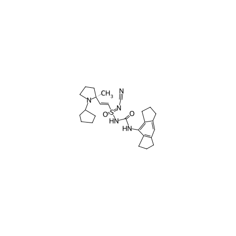 C[C@@]1(/C=C/S(=O)(=NC#N)NC(=O)Nc2c3c(cc4c2CCC4)CCC3)CCCN1C1CCCC1